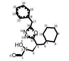 O=CN(O)C[C@H](CC1CCCCC1)c1nnc(Cc2ccccc2)o1